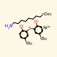 CC(C)(C)c1ccc([O-])c(Sc2cc(C(C)(C)C)ccc2[O-])c1.CCCCCCCCCCCCCCCCCCN.[Ni+2]